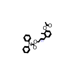 CC(=O)Oc1cccc(/C=C/COC(=O)N(c2ccccc2)c2ccccc2)c1C